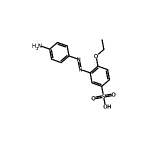 CCOc1ccc(S(=O)(=O)O)cc1N=Nc1ccc(N)cc1